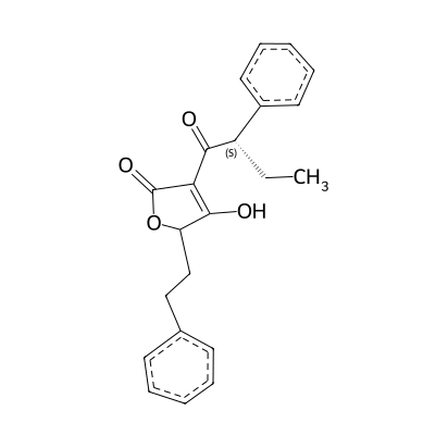 CC[C@H](C(=O)C1=C(O)C(CCc2ccccc2)OC1=O)c1ccccc1